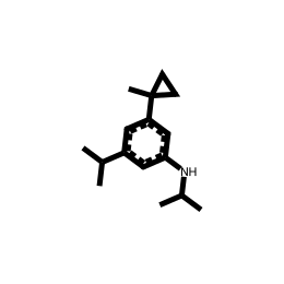 CC(C)Nc1cc(C(C)C)cc(C2(C)CC2)c1